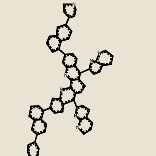 c1cnc2nc(-c3c4ccc(-c5cccc6cc(-c7ccncc7)ccc56)cc4nc4c3ccc3c(-c5ccc6cccnc6n5)c5ccc(-c6cccc7cc(-c8ccncc8)ccc67)cc5nc34)ccc2c1